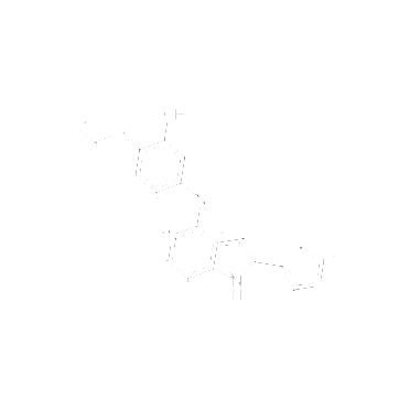 Cc1cc(Nc2nccc3[nH]c(-c4ccsc4)cc23)ccc1OCI